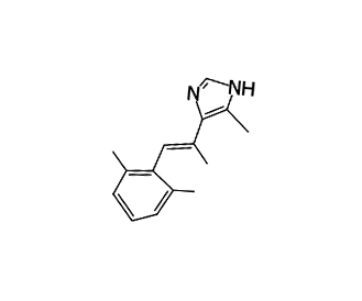 C/C(=C\c1c(C)cccc1C)c1nc[nH]c1C